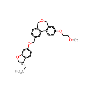 CCOCCOc1ccc2c(c1)COCc1ccc(COc3ccc4c(c3)OC[C@H]4CC(=O)O)cc1-2